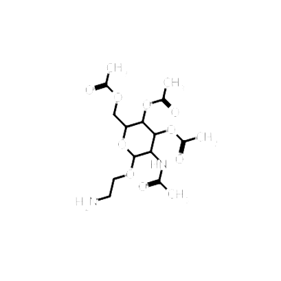 CC(=O)NC1C(OCCN)OC(COC(C)=O)C(OC(C)=O)C1OC(C)=O